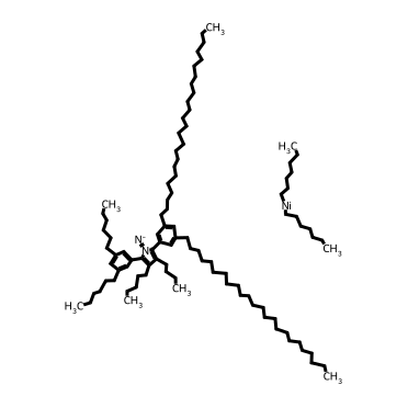 CCCCCCCCCCCCCCCCCCCCCCCCc1cc(CCCCCCCCCCCCCCCCCCCCCCCC)cc(C2=C(CCCC)C(CCCCC)=C(c3cc(CCCCCC)cc(CCCCCC)c3)[N+]2=[N-])c1.CCCCCC[CH2][Ni][CH2]CCCCCC